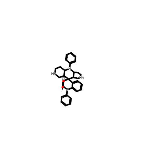 c1ccc(B2c3ccccc3C3(C4CNCCC4N(c4ccccc4)C4CCNCC43)C3NCCCC23)cc1